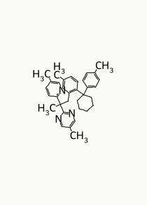 Cc1ccc(C2(c3ccc(C)cc3CC(C)(c3ccc(C)cn3)c3ncc(C)cn3)CCCCC2)cc1